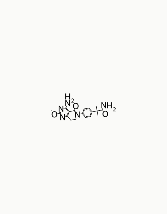 COc1nc(N)c2c(n1)CCN(c1ccc(C(C)(C)C(N)=O)cc1)C2=O